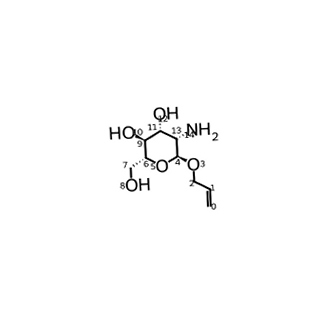 C=CCO[C@H]1O[C@H](CO)[C@@H](O)[C@H](O)[C@@H]1N